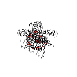 CC(=O)O[C@@H]1[C@@H](OC(C)=O)[C@H]2O[C@H]3[C@H](OC(C)=O)[C@@H](OC(C)=O)[C@@H](O[C@H]4[C@H](OC(C)=O)[C@@H](OCCCSCCN)[C@@H](O[C@@H]5[C@@H](OC(C)=O)[C@H](OC(C)=O)[C@H](O[C@@H]6[C@@H](OC(C)=O)[C@H](OC(C)=O)[C@H](O[C@@H]7[C@@H](OC(C)=O)[C@H](OC(C)=O)[C@H](O[C@@H]1[C@@H](CO[Si](C)(C)C(C)(C)C)O2)O[C@H]7CO[Si](C)(C)C(C)(C)C)O[C@H]6CO[Si](C)(C)C(C)(C)C)O[C@H]5CO[Si](C)(C)C(C)(C)C)O[C@@H]4CO[Si](C)(C)C(C)(C)C)O[C@@H]3CO[Si](C)(C)C(C)(C)C